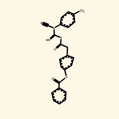 Cc1ccc(N(C#N)C(=N)SC(=O)Cc2ccc(OC(=O)c3ccccc3)cc2)cc1